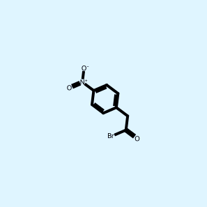 O=C(Br)Cc1ccc([N+](=O)[O-])cc1